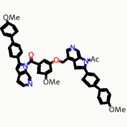 COc1ccc(-c2ccc(-c3cc4ccncc4n3C(=O)c3cc(OC)cc(OCc4cncc5c4cc(-c4ccc(-c6ccc(OC)cc6)cc4)n5C(C)=O)c3)cc2)cc1